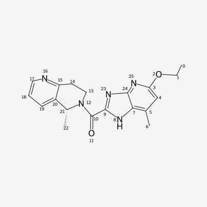 CCOc1cc(C)c2[nH]c(C(=O)N3CCc4ncccc4[C@H]3C)nc2n1